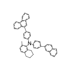 Cc1ccc2c(c1N(c1ccc(-c3ccc4ccccc4c3)cc1)c1ccc(-c3cc4ccccc4c4ccccc34)cc1)CCCC2